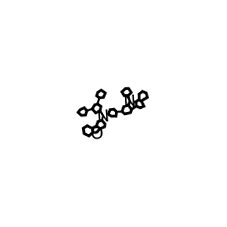 c1ccc(-c2cc(-c3ccccc3)cc(N(c3ccc(-c4ccc5c6ccc7ccccc7c6n(-c6ccccc6)c5c4)cc3)c3ccc4oc5ccccc5c4c3)c2)cc1